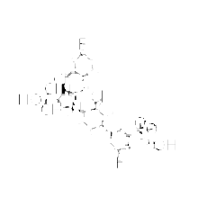 CC(C)(O)c1cn(-c2ccc(-c3cc(F)c4c(c3)S(=O)(=O)C(O)C4)cc2Cl)c(Cc2ccc(F)cc2Cl)n1